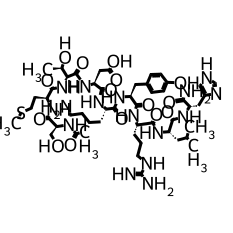 CSCC[C@H](NC(=O)[C@H](CO)NC(C)=O)C(=O)N[C@H](C(=O)N[C@@H](CC(=O)O)C(=O)N[C@@H](CCCCN)C(=O)N[C@@H](Cc1ccc(O)cc1)C(=O)N[C@@H](CCCNC(=N)N)C(=O)N[C@@H](CC(C)C)C(=O)N[C@@H](Cc1c[nH]cn1)C(N)=O)[C@@H](C)O